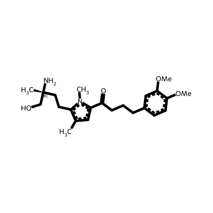 COc1ccc(CCCC(=O)c2cc(C)c(CC[C@@](C)(N)CO)n2C)cc1OC